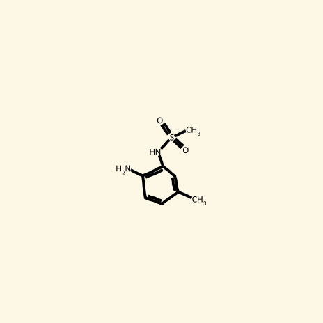 Cc1ccc(N)c(NS(C)(=O)=O)c1